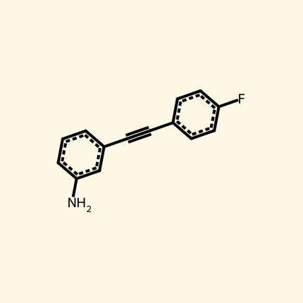 Nc1cccc(C#Cc2ccc(F)cc2)c1